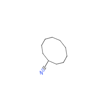 N#CC1CCCCCCCCC1